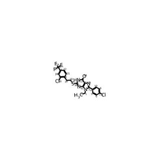 CCn1c(-c2ccc(Cl)cc2)nc2c(=O)[nH]c(SCCc3ccc(C(F)(F)F)cc3Cl)nc21